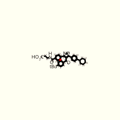 CC(C)(C)c1ccc(C(=O)c2c(-c3ccc(C(=O)NCCC(=O)O)cc3)noc2-c2ccc(C3CCCCC3)cc2)cc1